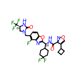 O=C(N[C@H](c1nc2c(F)c(CN3C[C@@H](C(F)(F)F)NC3=O)ccc2o1)C1CCC(F)(F)CC1)c1nocc1C1CCC1